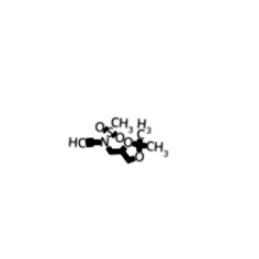 C#CN(CC1COC(C)(C)O1)S(C)(=O)=O